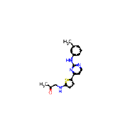 CC(=O)CNc1ccc(-c2ccnc(Nc3cccc(C)c3)n2)s1